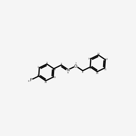 Fc1ccc(C=NOCc2ccccc2)cc1